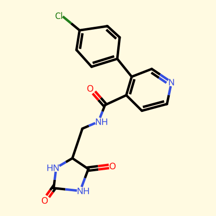 O=C1NC(=O)C(CNC(=O)c2ccncc2-c2ccc(Cl)cc2)N1